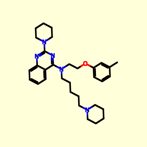 Cc1cccc(OCCN(CCCCCN2CCCCC2)c2nc(N3CCCCC3)nc3ccccc23)c1